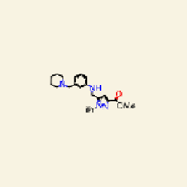 COC(=O)c1cc(CNc2cccc(CN3CCCCC3)c2)n(C(C)C)n1